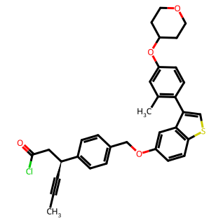 CC#C[C@@H](CC(=O)Cl)c1ccc(COc2ccc3scc(-c4ccc(OC5CCOCC5)cc4C)c3c2)cc1